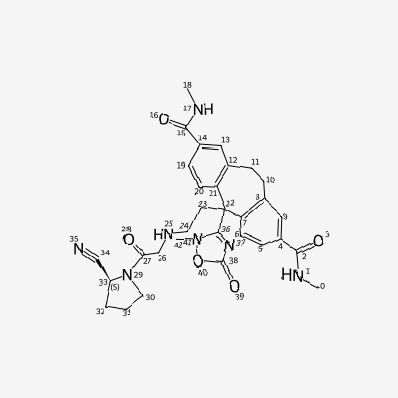 CNC(=O)c1ccc2c(c1)CCc1cc(C(=O)NC)ccc1C2(CCNCC(=O)N1CCC[C@H]1C#N)c1nc(=O)on1C